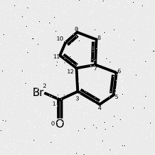 O=C(Br)c1cccc2ccccc12